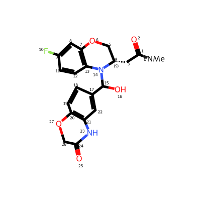 CNC(=O)C[C@H]1COc2cc(F)ccc2N1C(O)c1ccc2c(c1)NC(=O)CO2